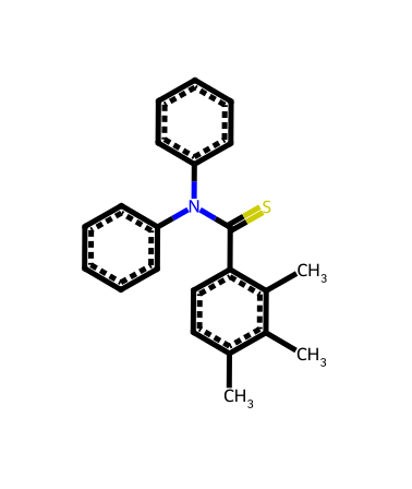 Cc1ccc(C(=S)N(c2ccccc2)c2ccccc2)c(C)c1C